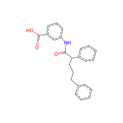 O=C(O)c1cccc(NC(=O)C(CCCc2ccccc2)c2ccccc2)c1